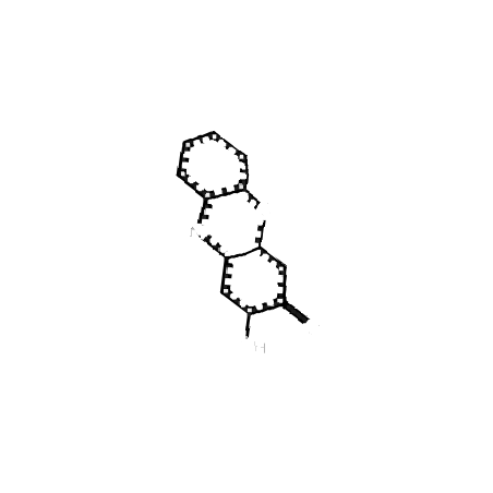 O=c1cc2oc3ccccc3nc-2cc1O